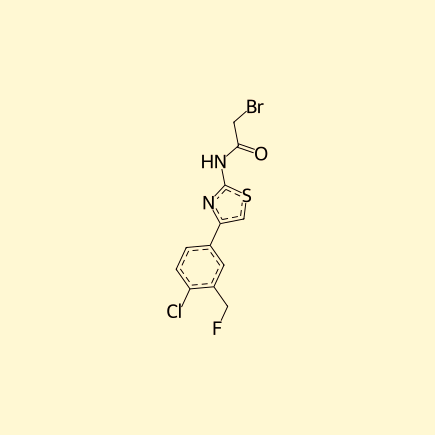 O=C(CBr)Nc1nc(-c2ccc(Cl)c(CF)c2)cs1